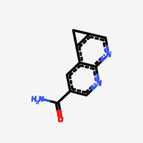 NC(=O)c1cnc2ncc3c(c2c1)C3